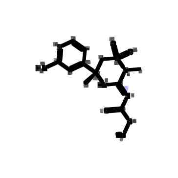 CN1/C(=N/C(=O)OC(C)(C)C)N[C@](C)(c2ccnc(N)c2)CS1(=O)=O